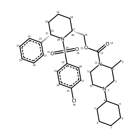 CC1CN(C2CCCCC2)CCN1C(=O)OC[C@H]1CCC[C@@H](c2ccccc2)N1S(=O)(=O)c1ccc(Cl)cc1